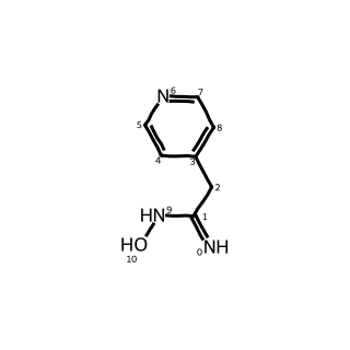 N=C(Cc1ccncc1)NO